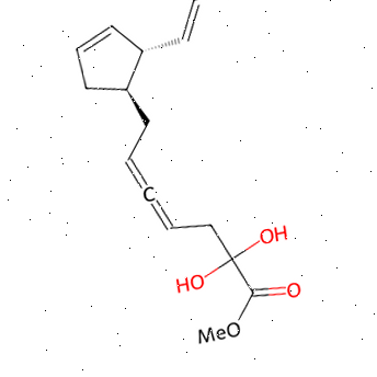 CCCCCCC=C[C@H]1C=CC[C@@H]1CC=C=CCC(O)(O)C(=O)OC